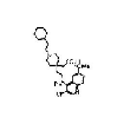 COc1ccc2ncc(Cl)c([C@H](F)CCC3(CC(=O)O)CCN(CCC4CCCCC4)CC3)c2c1